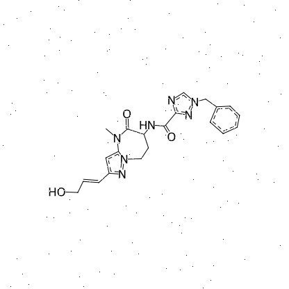 CN1C(=O)C(NC(=O)c2ncn(Cc3ccccc3)n2)CCn2nc(/C=C/CO)cc21